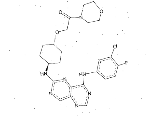 O=C(CO[C@H]1CC[C@H](Nc2ncc3ncnc(Nc4ccc(F)c(Cl)c4)c3n2)CC1)N1CCOCC1